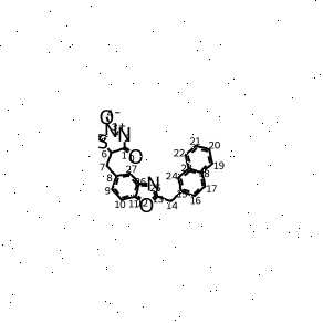 O=C1N=[N+]([O-])SC1Cc1ccc2oc(Cc3ccc4ccccc4c3)nc2c1